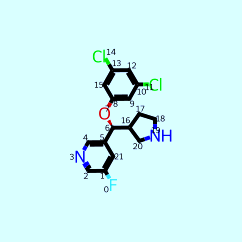 Fc1cncc([C@@H](Oc2cc(Cl)cc(Cl)c2)C2CCNC2)c1